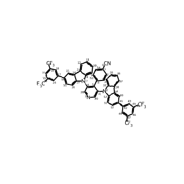 N#Cc1ccc(-c2c(-n3c4ccccc4c4cc(-c5cc(C(F)(F)F)cc(C(F)(F)F)c5)ccc43)cncc2-n2c3ccccc3c3cc(-c4cc(C(F)(F)F)cc(C(F)(F)F)c4)ccc32)cc1